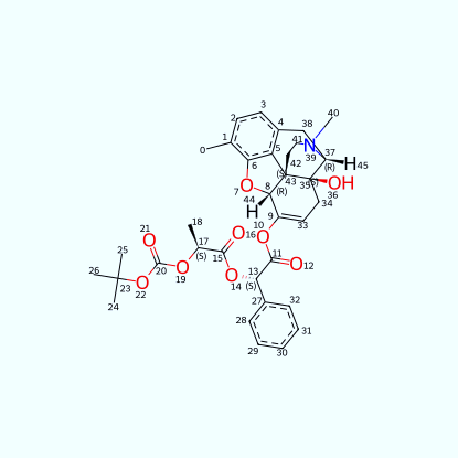 Cc1ccc2c3c1O[C@H]1C(OC(=O)[C@@H](OC(=O)[C@H](C)OC(=O)OC(C)(C)C)c4ccccc4)=CC[C@@]4(O)[C@@H](C2)N(C)CC[C@]314